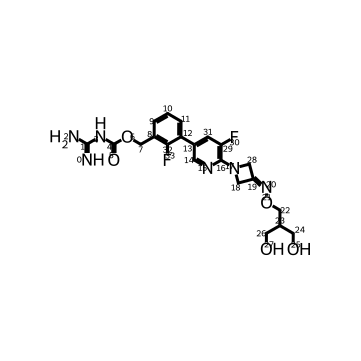 N=C(N)NC(=O)OCc1cccc(-c2cnc(N3CC(=NOCC(CO)CO)C3)c(F)c2)c1F